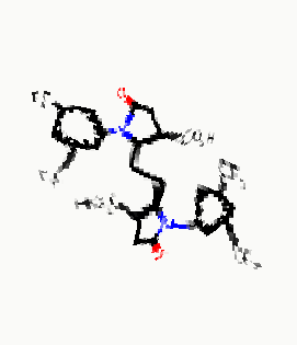 O=C(O)C1CC(=O)N(c2cc(C(F)(F)F)cc(C(F)(F)F)c2)C1CCC1C(C(=O)O)CC(=O)N1c1cc(C(F)(F)F)cc(C(F)(F)F)c1